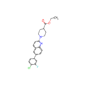 CCOC(=O)C1CCN(c2ccc3cc(-c4ccc(Cl)c(F)c4)ccc3n2)CC1